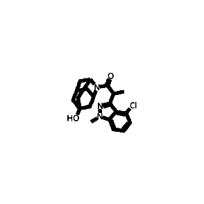 CC(C(=O)N1C2CC3CC1CC(O)(C3)C2)c1nn(C)c2cccc(Cl)c12